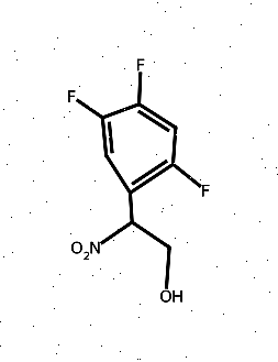 O=[N+]([O-])C(CO)c1cc(F)c(F)cc1F